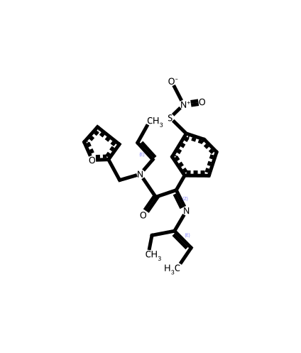 C/C=C/N(Cc1ccco1)C(=O)/C(=N\C(=C\C)CC)c1cccc(S[N+](=O)[O-])c1